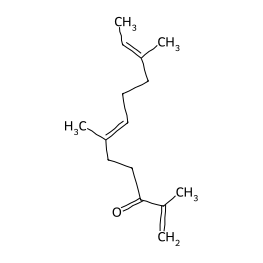 C=C(C)C(=O)CCC(C)=CCCC(C)=CC